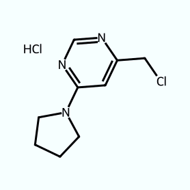 Cl.ClCc1cc(N2CCCC2)ncn1